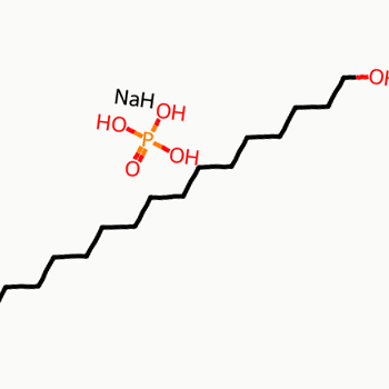 CCCCCCCCCCCCCCCCO.O=P(O)(O)O.[NaH]